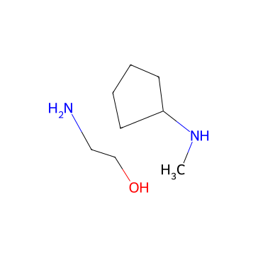 CNC1CCCC1.NCCO